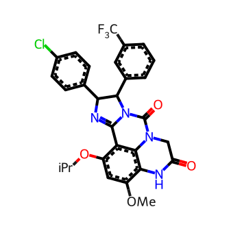 COc1cc(OC(C)C)c2c3c1NC(=O)CN3C(=O)N1C2=NC(c2ccc(Cl)cc2)C1c1cccc(C(F)(F)F)c1